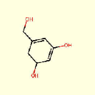 OCC1=CC(O)=CC(O)C1